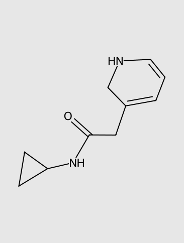 O=C(CC1=CC=CNC1)NC1CC1